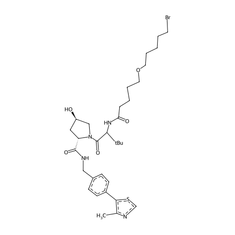 Cc1ncsc1-c1ccc(CNC(=O)[C@@H]2C[C@@H](O)CN2C(=O)C(NC(=O)CCCCOCCCCCBr)C(C)(C)C)cc1